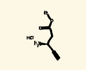 C#C[C@@H](N)CC(=O)OCC.Cl